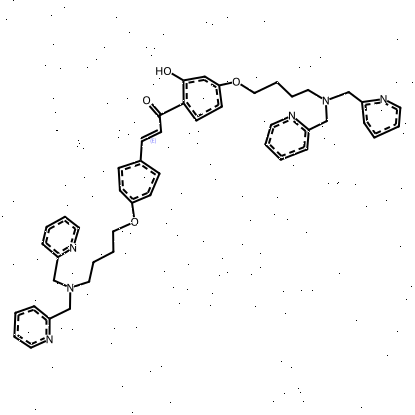 O=C(/C=C/c1ccc(OCCCCN(Cc2ccccn2)Cc2ccccn2)cc1)c1ccc(OCCCCN(Cc2ccccn2)Cc2ccccn2)cc1O